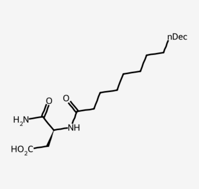 CCCCCCCCCCCCCCCCCC(=O)N[C@@H](CC(=O)O)C(N)=O